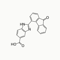 O=C(O)c1ccc2[nH]c(-c3cccc4c3-c3ccccc3C4=O)nc2c1